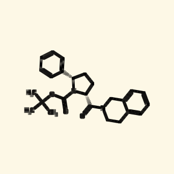 CC(C)(C)OC(=O)N1[C@@H](C(=O)N2CCc3ccccc3C2)CC[C@H]1c1ccccc1